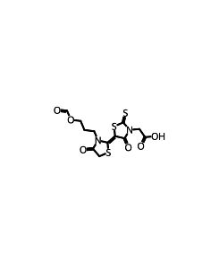 O=COCCCN1C(=O)CS/C1=C1/SC(=S)N(CC(=O)O)C1=O